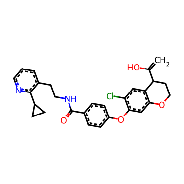 C=C(O)C1CCOc2cc(Oc3ccc(C(=O)NCCc4cccnc4C4CC4)cc3)c(Cl)cc21